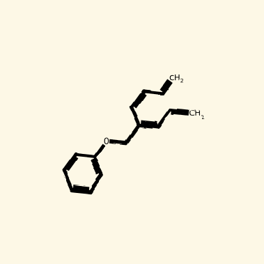 C=C/C=C\C(=C/C=C)COc1ccccc1